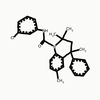 Cc1ccc2c(c1)C(C)(c1ccccc1)CC(C)(C)N2C(=O)Nc1cccc(Cl)c1